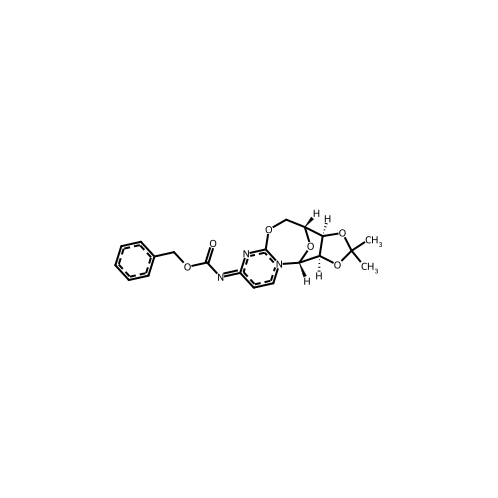 CC1(C)O[C@@H]2[C@H](O1)[C@H]1COc3n/c(=N\C(=O)OCc4ccccc4)ccn3[C@@H]2O1